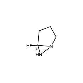 C1C[C@H]2NN2C1